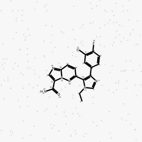 CCn1cnc(-c2ccc(F)c(Cl)c2)c1-c1ccc2ncc(C(N)=O)n2n1